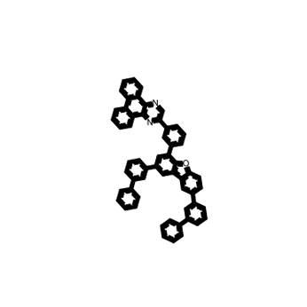 c1ccc(-c2cccc(-c3ccc4oc5c(-c6cccc(-c7cnc8c9ccccc9c9ccccc9c8n7)c6)cc(-c6cccc(-c7ccccc7)c6)cc5c4c3)c2)cc1